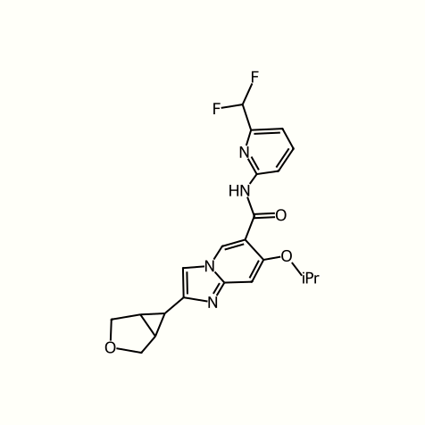 CC(C)Oc1cc2nc(C3C4COCC43)cn2cc1C(=O)Nc1cccc(C(F)F)n1